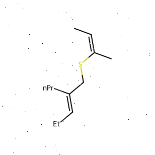 C/C=C(/C)SC/C(=C/CC)CCC